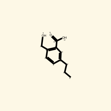 CCCc1ccc(CO)c(C(=O)O)c1